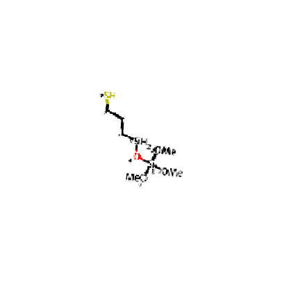 CO[Si](OC)(OC)O[SiH2]CCCS